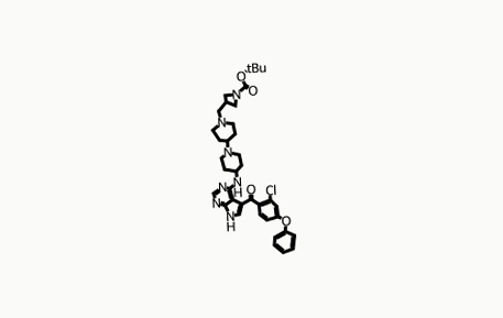 CC(C)(C)OC(=O)N1CC(CN2CCC(N3CCC(Nc4ncnc5[nH]cc(C(=O)c6ccc(Oc7ccccc7)cc6Cl)c45)CC3)CC2)C1